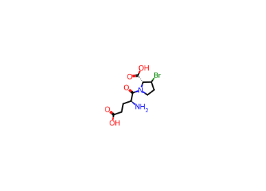 N[C@@H](CCC(=O)O)C(=O)N1CCC(Br)[C@H]1C(=O)O